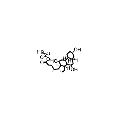 C[C@H](CCC(=O)OS(=O)(=O)O)[C@H]1CC[C@H]2[C@@H]3[C@H](O)C[C@@H]4C[C@H](O)CC[C@]4(C)[C@H]3C[C@H](O)[C@]12C